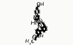 C=CC(=O)Nc1cccc(-c2cccc3cnc(Nc4ccc(N5CCN(CCO)CC5)nc4)nc23)c1